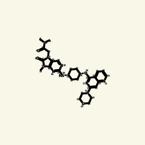 CN(C)C(=O)Cn1c(=O)n(C)c2nc(N[C@H]3CC[C@@H](Oc4nc(N5CCOCC5)cc5ncccc45)CC3)ncc21